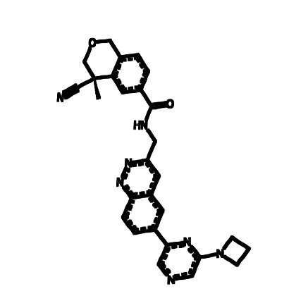 C[C@@]1(C#N)COCc2ccc(C(=O)NCc3cc4cc(-c5cncc(N6CCC6)n5)ccc4nn3)cc21